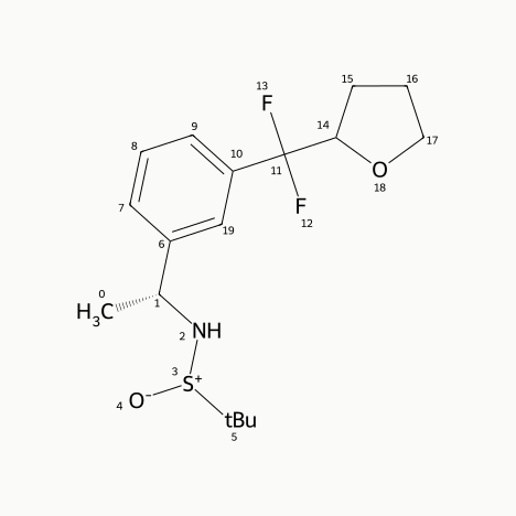 C[C@@H](N[S+]([O-])C(C)(C)C)c1cccc(C(F)(F)C2CCCO2)c1